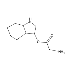 NCC(=O)OC1CNC2CCCCC21